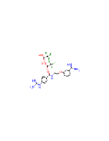 N=C(N)Nc1ccc(C(=O)NCCOc2cccc(C(=N)N)c2)cc1.O=C(O)C(F)(F)F.O=C(O)C(F)(F)F